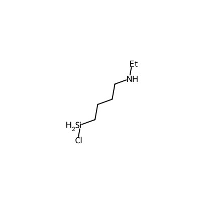 CCNCCCC[SiH2]Cl